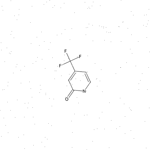 O=C1C=C(C(F)(F)F)[C]=C[N]1